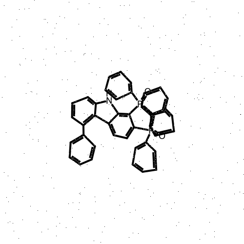 O=P(c1ccccc1)(c1ccccc1)c1ccc2c([nH]c3cccc(-c4ccccc4)c32)c1P(=O)(c1ccccc1)c1ccccc1